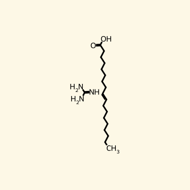 CCCCCCCCC=CCCCCCCCC(=O)O.N=C(N)N